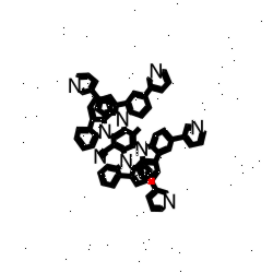 Cc1c(-n2c3ccc(-c4cccnc4)cc3c3cc(-c4cccnc4)ccc32)c(-n2c3ccccc3c3ccccc32)c(C#N)c(-n2c3ccccc3c3ccccc32)c1-n1c2ccc(-c3cccnc3)cc2c2cc(-c3cccnc3)ccc21